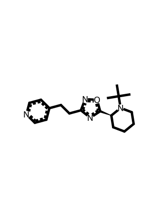 CC(C)(C)N1CCCC[C@H]1c1nc(CCc2ccncc2)no1